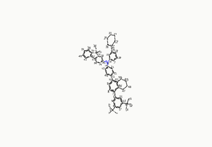 CC(C)(C)c1cc(-c2ccc(-c3ccc(N(c4cccc(C5CCCCC5)c4)c4ccc5c(c4)C(C)(C)c4ccccc4-5)cc3)c3c2CCCC3)cc(C(C)(C)C)c1